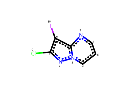 Clc1nn2cccnc2c1I